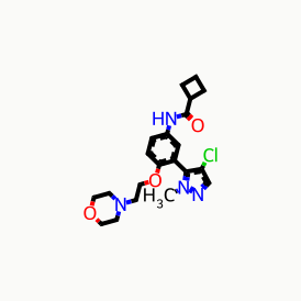 Cn1ncc(Cl)c1-c1cc(NC(=O)C2CCC2)ccc1OCCN1CCOCC1